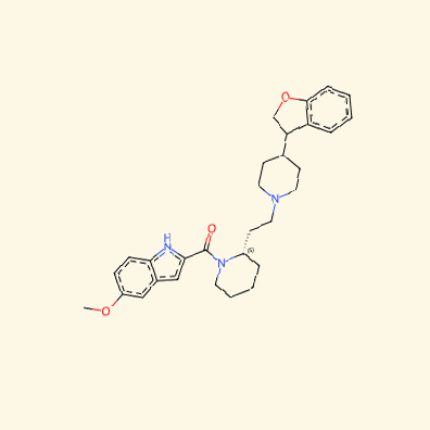 COc1ccc2[nH]c(C(=O)N3CCCC[C@H]3CCN3CCC(C4COc5ccccc54)CC3)cc2c1